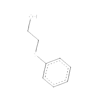 O[CH]CSc1ccccc1